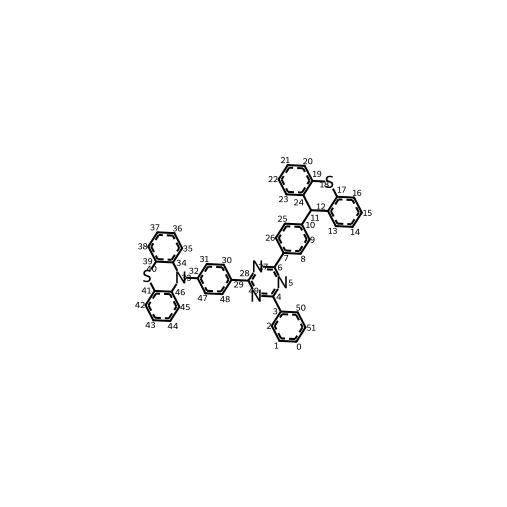 c1ccc(-c2nc(-c3ccc(C4c5ccccc5Sc5ccccc54)cc3)nc(-c3ccc(N4c5ccccc5Sc5ccccc54)cc3)n2)cc1